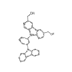 OCc1ccc2c(c1)c1cc(CO)ccc1n2-c1cccc(-n2c3ccccc3c3ccccc32)c1